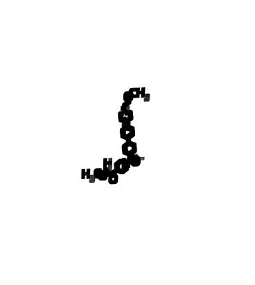 COCCN1CCN(c2ccc(C3C=CC([S+]([O-])N4CC=C(C(=O)NOC)CC4)CC3)cc2)CC1